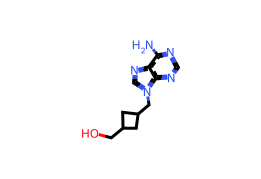 Nc1ncnc2c1ncn2CC1CC(CO)C1